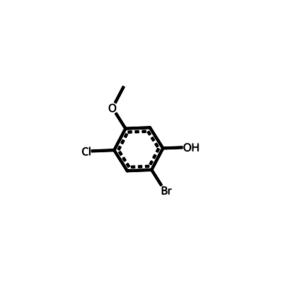 COc1cc(O)c(Br)cc1Cl